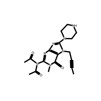 CC#CCn1c(N2CCNCC2)nc2nc(N(C(C)=O)C(C)=O)n(C)c(=O)c21